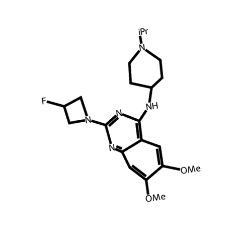 COc1cc2nc(N3CC(F)C3)nc(NC3CCN(C(C)C)CC3)c2cc1OC